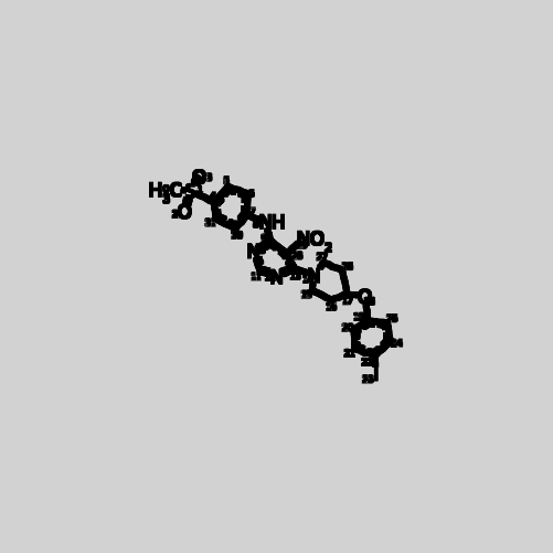 CS(=O)(=O)c1ccc(Nc2ncnc(N3CCC(Oc4ccc(I)cc4)CC3)c2[N+](=O)[O-])cc1